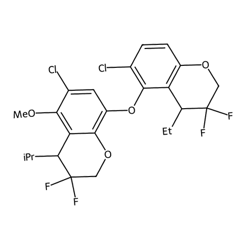 CCC1c2c(ccc(Cl)c2Oc2cc(Cl)c(OC)c3c2OCC(F)(F)C3C(C)C)OCC1(F)F